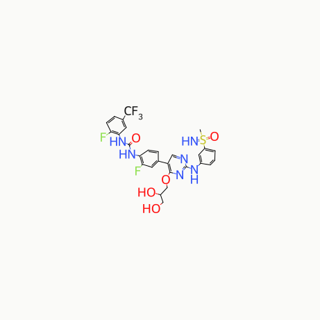 CS(=N)(=O)c1cccc(Nc2ncc(-c3ccc(NC(=O)Nc4cc(C(F)(F)F)ccc4F)c(F)c3)c(OCC(O)CO)n2)c1